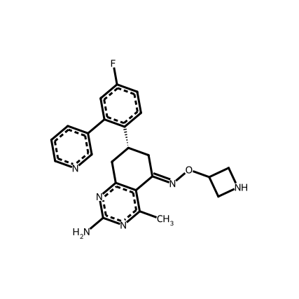 Cc1nc(N)nc2c1C(=NOC1CNC1)C[C@@H](c1ccc(F)cc1-c1cccnc1)C2